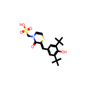 CC(C)(C)c1cc(C=C2SC=CN(CS(=O)(=O)O)C2=O)cc(C(C)(C)C)c1O